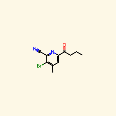 CCCC(=O)c1cc(C)c(Br)c(C#N)n1